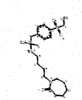 CCC(C)(Cc1ccc(S(=O)(=O)CC(C)C)cc1)NCCCCN1CCCCCC1=O